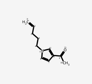 C=CCCCn1ccc(C(C)=O)c1